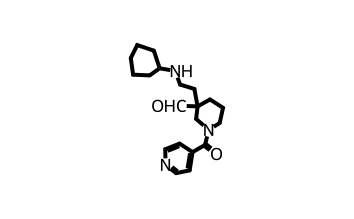 O=CC1(CCNC2CCCCC2)CCCN(C(=O)c2ccncc2)C1